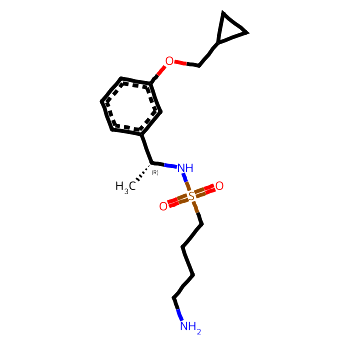 C[C@@H](NS(=O)(=O)CCCCN)c1cccc(OCC2CC2)c1